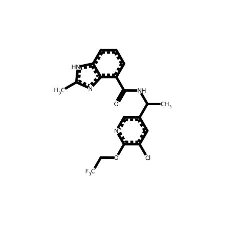 Cc1nc2c(C(=O)NC(C)c3cnc(OCC(F)(F)F)c(Cl)c3)cccc2[nH]1